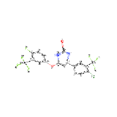 O=c1nc(-c2ccc(Cl)c(C(F)(F)F)c2)cc(Oc2ccc(F)c(C(F)(F)F)c2)[nH]1